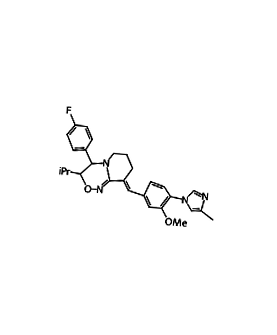 COc1cc(/C=C2\CCCN3C2=NOC(C(C)C)C3c2ccc(F)cc2)ccc1-n1cnc(C)c1